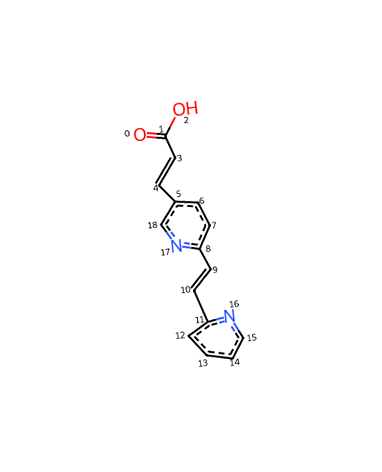 O=C(O)C=Cc1ccc(C=Cc2ccccn2)nc1